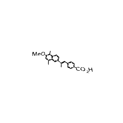 COc1cc(C)c2cc(C(C)=Cc3ccc(C(=O)O)cc3)ccc2c1C